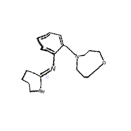 c1ccc(N2CCOCC2)c(/N=C2\CCCN2)c1